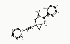 CCN(CC1(C#Cc2ccccn2)CC1)C(=O)c1ccccn1